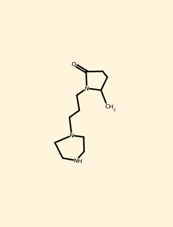 CC1CCC(=O)N1CCCN1CCNCC1